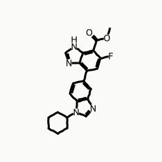 COC(=O)c1c(F)cc(-c2ccc3c(c2)ncn3C2CCCCC2)c2nc[nH]c12